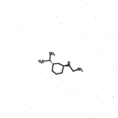 CCN[C@H]1CCC[C@H](C(C)C)C1